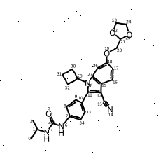 CC(C)NC(=O)Nc1ccc(-c2c(C#N)c3ccc(OCC4OCCO4)cc3n2C2CCC2)cc1